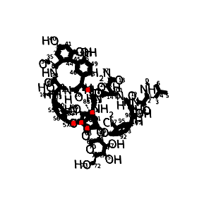 CN[C@H](CC(C)C)C(=O)N[C@H]1C(=O)N[C@@H](CC(N)=O)C(=O)NC2C(=O)N[C@H]3C(=O)N[C@H](C(=O)N[C@H](C=O)c4cc(O)cc(O)c4-c4cc3ccc4O)[C@H](O)c3ccc(c(Cl)c3)Oc3cc2cc(c3O[C@@H]2O[C@H](CO)[C@@H](O)[C@H](O)[C@H]2OC2C[C@](C)(N)[C@H](O)[C@H](C)O2)Oc2ccc(cc2Cl)[C@H]1O